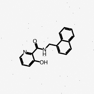 O=C(NCc1cccc2ccccc12)c1ncccc1O